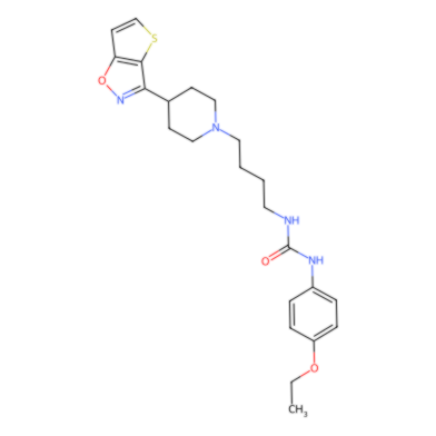 CCOc1ccc(NC(=O)NCCCCN2CCC(c3noc4ccsc34)CC2)cc1